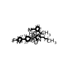 CCCCc1nc(=O)c(S(=O)(=O)c2ccc(-c3ccc(F)nc3)cc2)c(O)n1C(C)c1cccc(C#N)c1